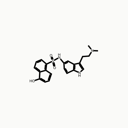 CN(C)CCc1c[nH]c2ccc(NS(=O)(=O)c3cccc4c(O)cccc34)cc12